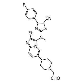 CCc1nc2ccc(C3CCN(CC=O)CC3)cn2c1N(C)c1nc(-c2ccc(F)cc2)c(C#N)s1